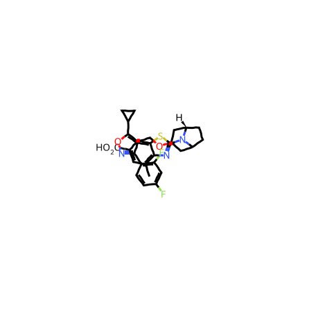 Cc1cc(C(=O)O)cc2sc(N3C4CC[C@H]3CC(OCc3c(-c5ccc(F)cc5F)noc3C3CC3)C4)nc12